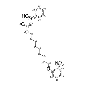 O=C(OCCCCCCCCCOc1ccccc1[N+](=O)[O-])OB(O)c1ccccc1